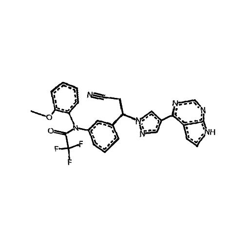 COc1ccccc1N(C(=O)C(F)(F)F)c1cccc(C(CC#N)n2cc(-c3ncnc4[nH]ccc34)cn2)c1